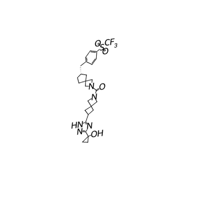 O=C(N1CC2(CC(c3nc(C4(O)CC4)n[nH]3)C2)C1)N1CC2(CC[C@H](Cc3ccc(S(=O)(=O)C(F)(F)F)cc3)C2)C1